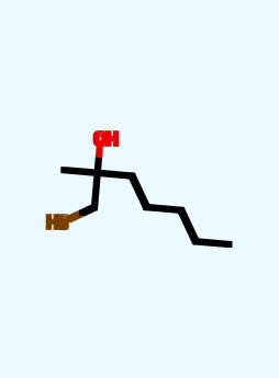 CCCCCC(C)(O)CS